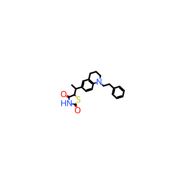 CC(c1ccc2c(c1)CCCN2CCc1ccccc1)C1SC(=O)NC1=O